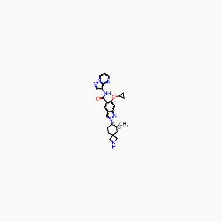 C[C@H]1CC2(CC[C@H]1n1cc3cc(C(=O)Nc4cnn5cccnc45)c(OC4CC4)cc3n1)CNC2